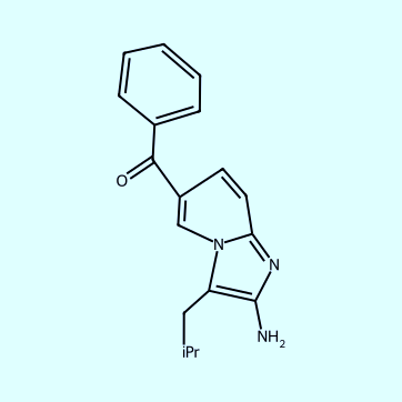 CC(C)Cc1c(N)nc2ccc(C(=O)c3ccccc3)cn12